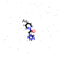 CC(=O)C1CCN(C(=O)Cn2cnnn2)CC1